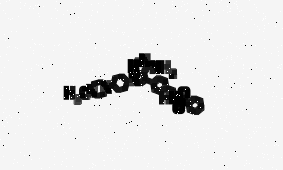 CN1CCN(C2CCC(n3cc(-c4ccc(CNS(=O)(=O)c5ccccc5)cc4)c4c(N)ncnc43)CC2)CC1